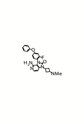 CNC1CC(n2c(=O)n(-c3ccc(Oc4ccccc4)cc3F)c3c(N)nccc32)C1